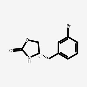 O=C1N[C@@H](Cc2cccc(Br)c2)CO1